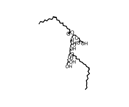 CCCCCCC/C=C\CCCCCCCCC(=O)OC(COCC(O)CO)COCC(O)COCC(COCC(O)CO)OC(=O)CCCCCCCC/C=C\CCCCCCCCC